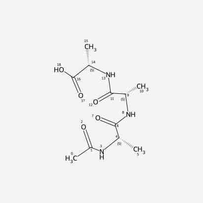 CC(=O)N[C@@H](C)C(=O)N[C@@H](C)C(=O)N[C@@H](C)C(=O)O